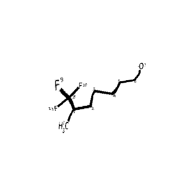 CC(CCCCC[O])C(F)(F)F